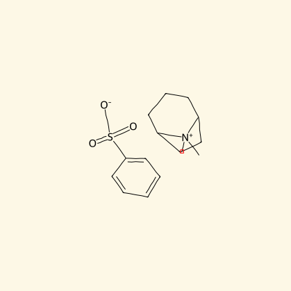 C[N+]1(C)C2CCCC1CC2.O=S(=O)([O-])c1ccccc1